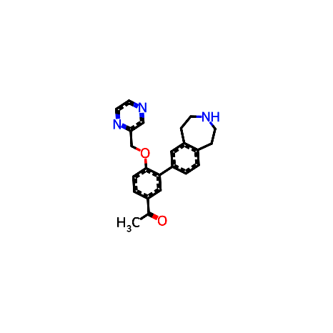 CC(=O)c1ccc(OCc2cnccn2)c(-c2ccc3c(c2)CCNCC3)c1